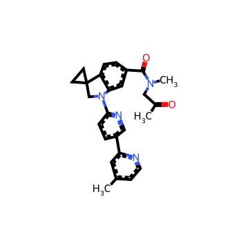 CC(=O)CN(C)C(=O)c1ccc2c(c1)N(c1ccc(-c3cc(C)ccn3)cn1)CC21CC1